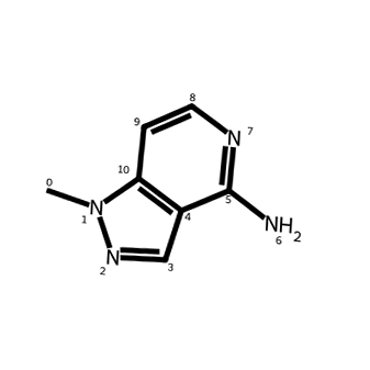 Cn1ncc2c(N)nccc21